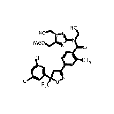 COCc1nc(N(CC#N)C(=O)c2ccc(C3=NOC(c4cc(Cl)cc(Cl)c4)(C(F)(F)F)C3)cc2C)nn1CC#N